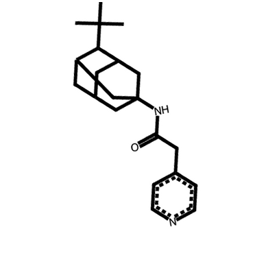 CC(C)(C)C1C2CC3CC1CC(NC(=O)Cc1ccncc1)(C3)C2